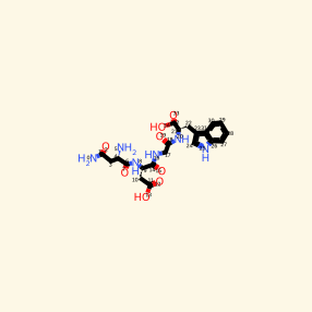 NC(=O)C[C@H](N)C(=O)N[C@@H](CC(=O)O)C(=O)NCC(=O)N[C@@H](Cc1c[nH]c2ccccc12)C(=O)O